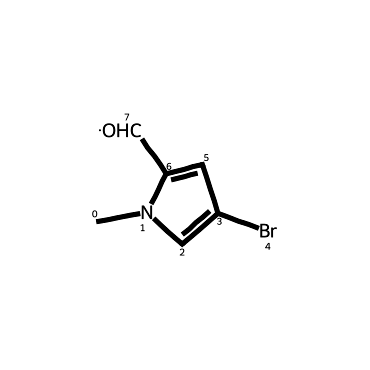 Cn1cc(Br)cc1[C]=O